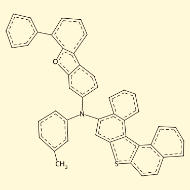 Cc1cccc(N(c2ccc3c(c2)oc2c(-c4ccccc4)cccc23)c2cc3sc4ccc5ccccc5c4c3c3ccccc23)c1